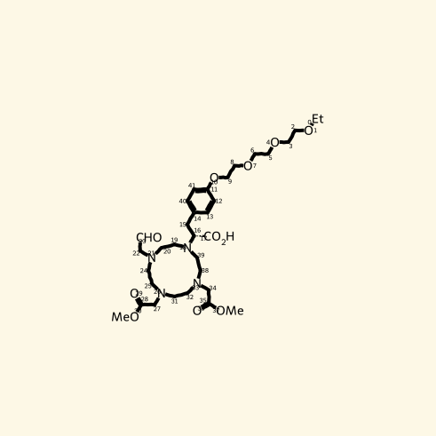 CCOCCOCCOCCOc1ccc(C[C@H](C(=O)O)N2CCN(CC=O)CCN(CC(=O)OC)CCN(CC(=O)OC)CC2)cc1